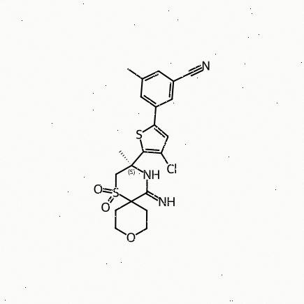 Cc1cc(C#N)cc(-c2cc(Cl)c([C@]3(C)CS(=O)(=O)C4(CCOCC4)C(=N)N3)s2)c1